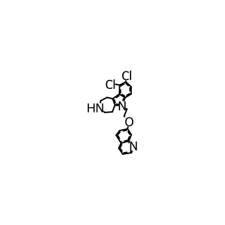 Clc1ccc2c(c1Cl)c1c(n2CCOc2ccc3cccnc3c2)CCNCC1